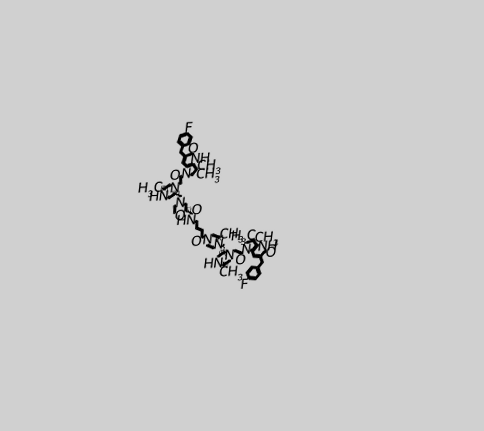 C[C@@H]1CN(CC(=O)N2CC(C)(C)c3[nH]c(=O)c(Cc4ccc(F)cc4)cc32)[C@@H](CN2CCO[C@H](C(=O)NCCCC(=O)N3CCN(C[C@H]4CN[C@H](C)CN4CC(=O)N4CC(C)(C)c5[nH]c(=O)c(Cc6ccc(F)cc6)cc54)[C@H](C)C3)C2)CN1